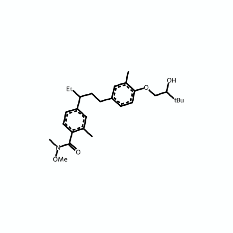 CCC(CCc1ccc(OCC(O)C(C)(C)C)c(C)c1)c1ccc(C(=O)N(C)OC)c(C)c1